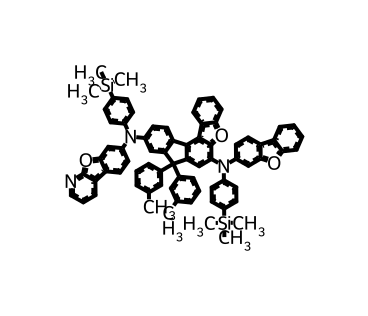 Cc1cccc(C2(c3cccc(C)c3)c3cc(N(c4ccc([Si](C)(C)C)cc4)c4ccc5c(c4)oc4ncccc45)ccc3-c3c2cc(N(c2ccc([Si](C)(C)C)cc2)c2ccc4c(c2)oc2ccccc24)c2oc4ccccc4c32)c1